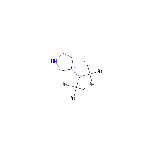 [2H]C([2H])([2H])N([C@H]1CCNC1)C([2H])([2H])[2H]